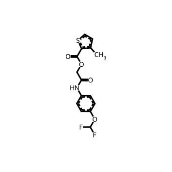 Cc1ccsc1C(=O)OCC(=O)Nc1ccc(OC(F)F)cc1